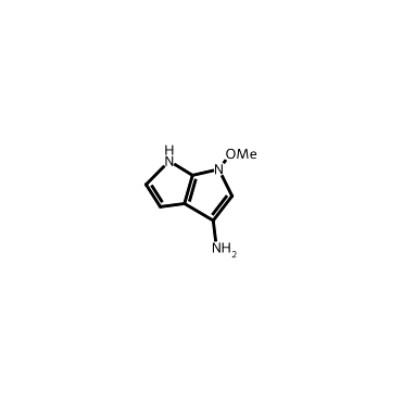 COn1cc(N)c2cc[nH]c21